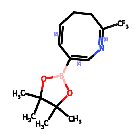 CC1(C)OB(C2=C/N=C(/C(F)(F)F)CC/C=C\2)OC1(C)C